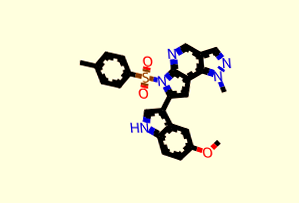 COc1ccc2[nH]cc(-c3cc4c5c(cnc4n3S(=O)(=O)c3ccc(C)cc3)cnn5C)c2c1